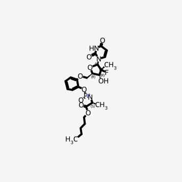 CCCCCOC(=O)[C@H](C)/N=[P+](\[O-])Oc1ccccc1OC[C@H]1O[C@@H](n2ccc(=O)[nH]c2=O)[C@](C)(F)[C@@H]1O